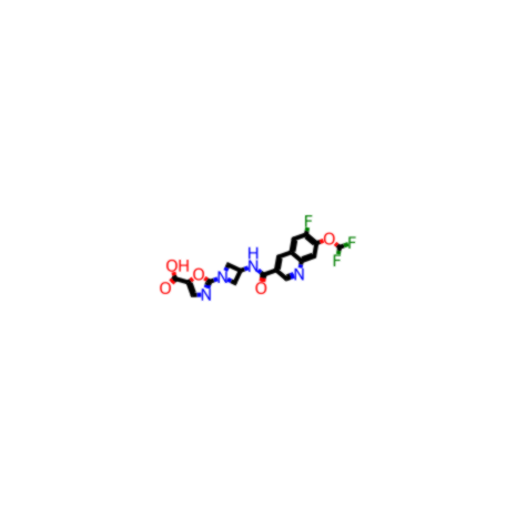 O=C(NC1CN(c2ncc(C(=O)O)o2)C1)c1cnc2cc(OC(F)F)c(F)cc2c1